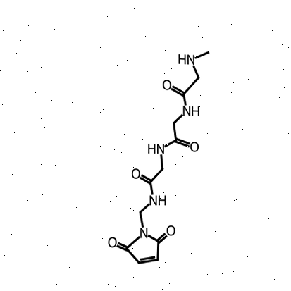 CNCC(=O)NCC(=O)NCC(=O)NCN1C(=O)C=CC1=O